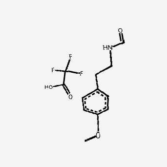 COc1ccc(CCNC=O)cc1.O=C(O)C(F)(F)F